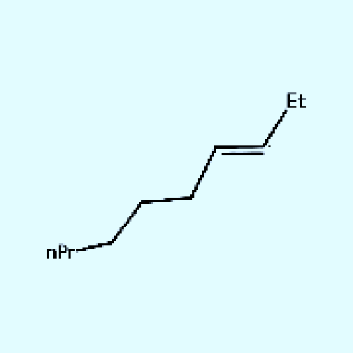 [CH2]CCCCC/C=[C]/CC